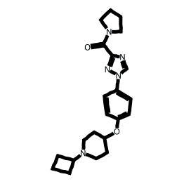 O=C(c1ncn(-c2ccc(OC3CCN(C4CCC4)CC3)cc2)n1)N1CCCC1